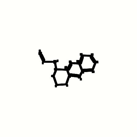 O=COC1CCCc2nc3ccccc3cc21